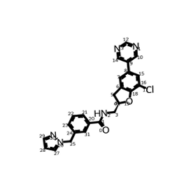 O=C(NC[C@H]1Cc2cc(-c3cncnc3)cc(Cl)c2O1)c1cccc(Cn2cccn2)c1